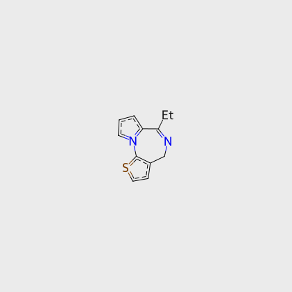 CCC1=NCc2ccsc2-n2cccc21